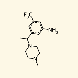 CC(c1cc(N)cc(C(F)(F)F)c1)N1CCN(C)CC1